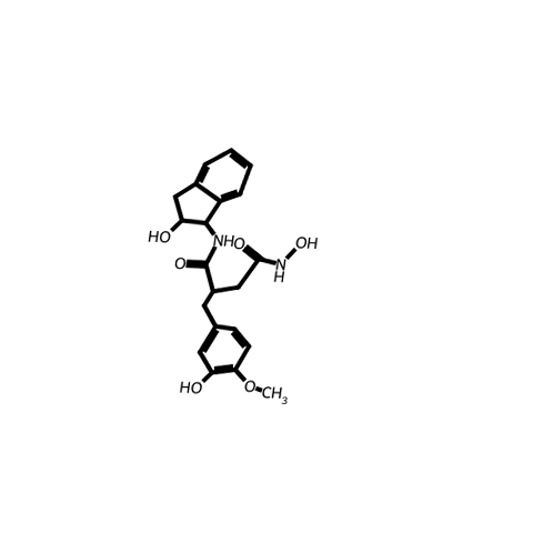 COc1ccc(CC(CC(=O)NO)C(=O)NC2c3ccccc3CC2O)cc1O